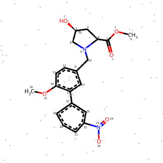 COC(=O)C1C[C@H](O)CN1Cc1ccc(OC)c(-c2cccc([N+](=O)[O-])c2)c1